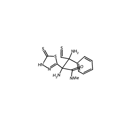 CNC(=O)C(N)(c1n[nH]c(=S)s1)C(N)(C=S)c1ccccc1